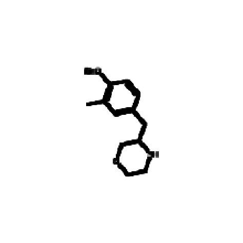 COc1ccc(CC2COCCN2)cc1C